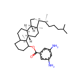 CC(C)CCC[C@@H](C)[C@H]1CC[C@H]2[C@@H]3CCC4CCCC(OC(=O)c5cc(N)cc(N)c5)[C@]4(C)[C@H]3CC[C@]12C